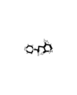 Cc1cc[nH]c(=O)c1CC(=S)N1CCOCC1